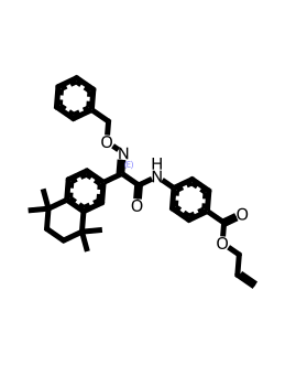 C=CCOC(=O)c1ccc(NC(=O)/C(=N/OCc2ccccc2)c2ccc3c(c2)C(C)(C)CCC3(C)C)cc1